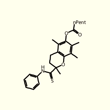 CCCCCC(=O)Oc1c(C)c(C)c2c(c1C)CCC(C)(C(=S)Nc1ccccc1)O2